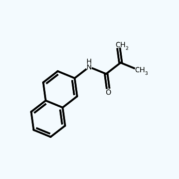 C=C(C)C(=O)Nc1ccc2ccccc2c1